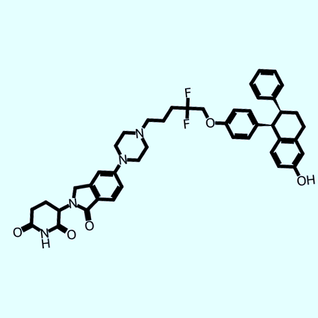 O=C1CCC(N2Cc3cc(N4CCN(CCCC(F)(F)COc5ccc([C@@H]6c7ccc(O)cc7CC[C@@H]6c6ccccc6)cc5)CC4)ccc3C2=O)C(=O)N1